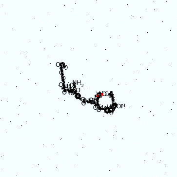 C=C1CC2CC[C@]34C[C@@H](O)C(O3)C3CC(O4)[C@H]4OC(CCC4O3)CC(=O)CC3C(C[C@H]4O[C@@H](CCC1O2)C[C@@H](C)C4=C)O[C@H](CC(O)CNC(=O)OCc1ccc(NC(=O)C(CC(N)=O)NC(=O)[C@H](C)NC(=O)C(C)NC(=O)CCOCCOCCN2C(=O)C=CC2=O)cc1)[C@@H]3OC